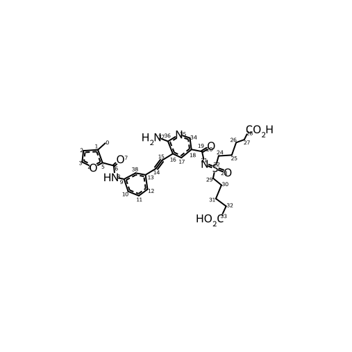 Cc1ccoc1C(=O)Nc1cccc(C#Cc2cc(C(=O)N=S(=O)(CCCCC(=O)O)CCCCC(=O)O)cnc2N)c1